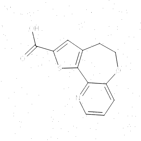 O=C(O)c1cc2c(s1)-c1ncccc1OCC2